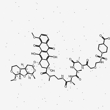 COc1cccc2c1C(=O)c1c(O)c3c(c(O)c1C2=O)C[C@@](O)(C(=O)N(C)CCNC(=O)[C@H](C)NC(=O)[C@H](C)NC(=O)[C@H](C)NC(=O)COCNS(=O)(=O)N1CCC(C(=O)O)CC1)C[C@@H]3O[C@H]1C[C@H]2[C@H](O[C@@H]3[C@@H](OC)OCCN32)[C@H](C)O1